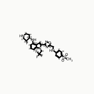 CS(=O)(=O)c1ccc(NCc2nc(-c3cc4c(N[C@@H]5CCNC[C@@H]5F)cccc4n3CC(F)(F)F)no2)cc1